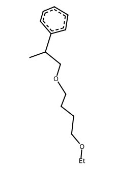 CCOCCCCOCC(C)c1ccccc1